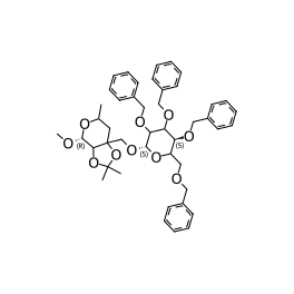 CO[C@@H]1OC(C)CC2(CO[C@H]3OC(COCc4ccccc4)[C@H](OCc4ccccc4)C(OCc4ccccc4)C3OCc3ccccc3)OC(C)(C)OC12